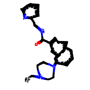 CN1CCN(c2cccc3ccc(C(=O)NCc4ccccn4)cc23)CC1